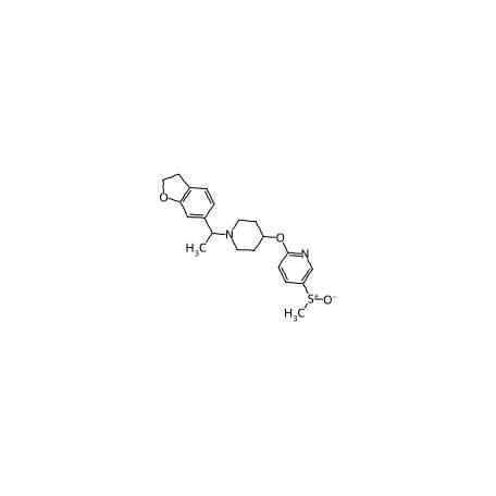 CC(c1ccc2c(c1)OCC2)N1CCC(Oc2ccc([S+](C)[O-])cn2)CC1